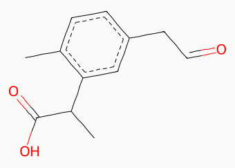 Cc1ccc(CC=O)cc1C(C)C(=O)O